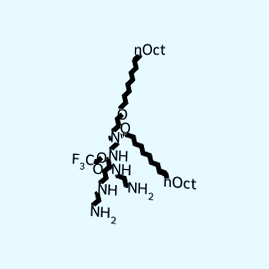 CCCCCCCCC=CCCCCCCCCOCC(C[N+](C)(C)CCNC(OC(=O)C(F)(F)F)C(CCCNCCCN)NCCCN)OCCCCCCCCC=CCCCCCCCC